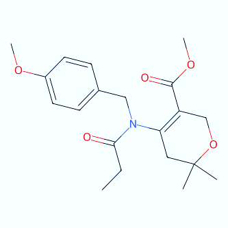 CCC(=O)N(Cc1ccc(OC)cc1)C1=C(C(=O)OC)COC(C)(C)C1